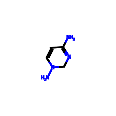 NC1=NCN(N)C=[C]1